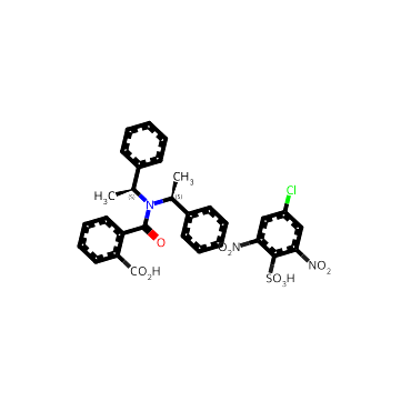 C[C@@H](c1ccccc1)N(C(=O)c1ccccc1C(=O)O)[C@@H](C)c1ccccc1.O=[N+]([O-])c1cc(Cl)cc([N+](=O)[O-])c1S(=O)(=O)O